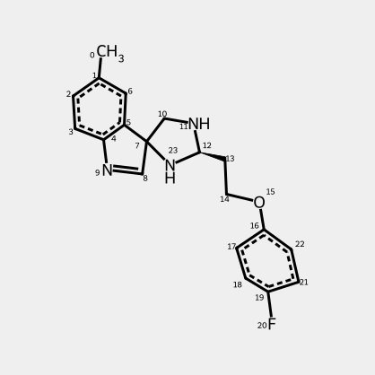 Cc1ccc2c(c1)C1(C=N2)CN[C@@H](CCOc2ccc(F)cc2)N1